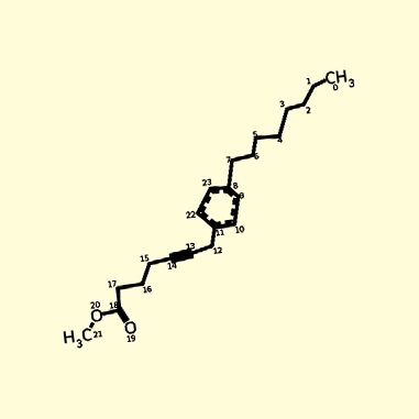 CCCCCCCCc1ccc(CC#CCCCC(=O)OC)cc1